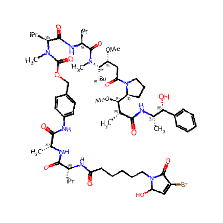 CC[C@@H](C)[C@@H]([C@@H](CC(=O)N1CCC[C@H]1[C@H](OC)[C@@H](C)C(=O)N[C@@H](C)[C@H](O)c1ccccc1)OC)N(C)C(=O)[C@@H](NC(=O)[C@H](C(C)C)N(C)C(=O)OCc1ccc(NC(=O)[C@@H](C)NC(=O)[C@H](NC(=O)CCCCCN2C(=O)C(Br)=CC2O)C(C)C)cc1)C(C)C